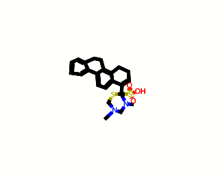 CN1CSC(C2=CCCc3c2ccc2c3CCc3ccccc3-2)(S(=O)(=O)O)N(C)C1